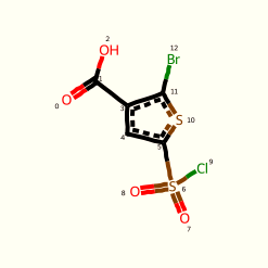 O=C(O)c1cc(S(=O)(=O)Cl)sc1Br